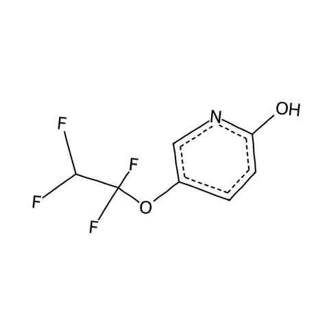 Oc1ccc(OC(F)(F)C(F)F)cn1